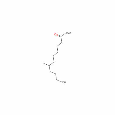 CCC(C)CCCC(C)CCCCCC(=O)OC